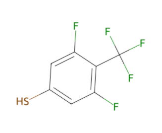 Fc1cc(S)cc(F)c1C(F)(F)F